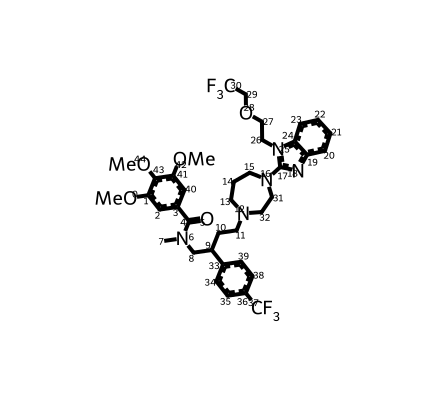 COc1cc(C(=O)N(C)CC(CCN2CCCN(c3nc4ccccc4n3CCOCC(F)(F)F)CC2)c2ccc(C(F)(F)F)cc2)cc(OC)c1OC